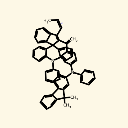 C=C(C1=C(/C=C\C)c2ccccc2C12c1ccccc1N(c1ccccc1)c1ccccc12)c1ccc(N(c2ccccc2)c2ccc3c(c2)C(C)(C)c2ccccc2-3)cc1